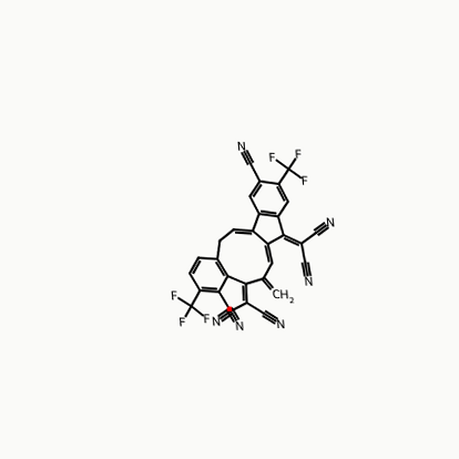 C=C1/C=C2/C(=C(C#N)C#N)c3cc(C(F)(F)F)c(C#N)cc3/C2=C/Cc2ccc(C(F)(F)F)c(C#N)c2C1=C(C#N)C#N